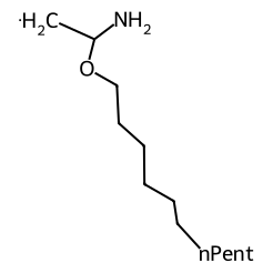 [CH2]C(N)OCCCCCCCCCCC